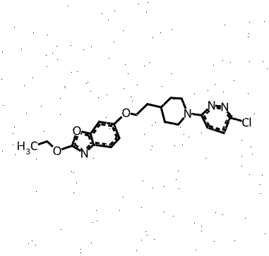 CCOc1nc2ccc(OCCC3CCN(c4ccc(Cl)nn4)CC3)cc2o1